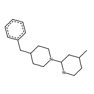 CC1CC[N]C(N2CCC(Cc3ccccc3)CC2)C1